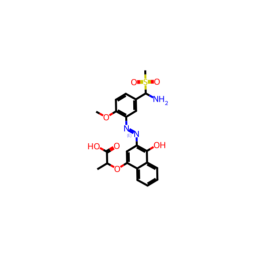 COc1ccc(C(N)S(C)(=O)=O)cc1/N=N/c1cc(OC(C)C(=O)O)c2ccccc2c1O